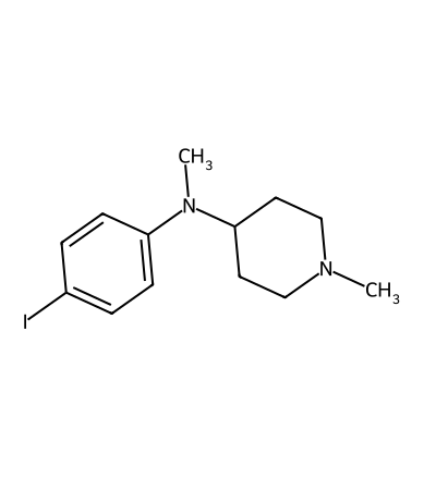 CN1CCC(N(C)c2ccc(I)cc2)CC1